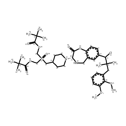 COc1cccc(CC(C)(C)C(Cl)c2ccc3c(c2)CN[C@H](N2CCC(CP(=O)(COC(=O)C(C)(C)C)COC(=O)C(C)(C)C)CC2)C(=O)O3)c1OC